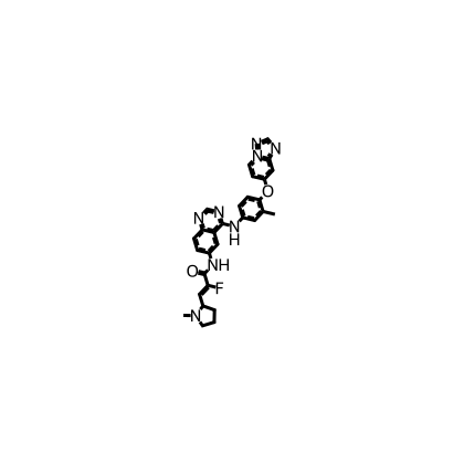 Cc1cc(Nc2ncnc3ccc(NC(=O)C(F)=CC4CCCN4C)cc23)ccc1Oc1ccn2ncnc2c1